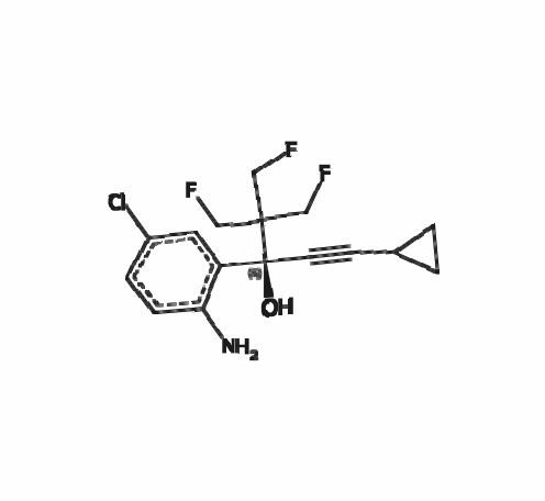 Nc1ccc(Cl)cc1[C@@](O)(C#CC1CC1)C(CF)(CF)CF